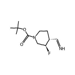 CC(C)(C)OC(=O)N1CC[C@H](C=N)[C@@H](F)C1